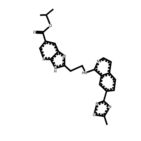 Cc1nc(-c2ccc3ccnc(NCCc4nc5cc(C(=O)OC(C)C)cnc5[nH]4)c3c2)no1